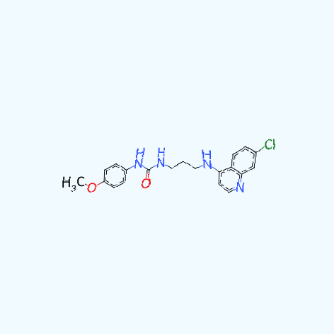 COc1ccc(NC(=O)NCCCNc2ccnc3cc(Cl)ccc23)cc1